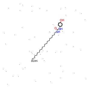 CCCCCCCCCCCCCCCCCCCCCCCCCCCCCNC(=O)Nc1ccc(O)cc1